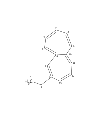 CCC1=CC2=CC=CC=CC2=CC=C1